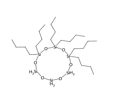 CCCC[Si]1(CCCC)O[SiH2]O[SiH2]O[SiH2]O[Si](CCCC)(CCCC)O[Si](CCCC)(CCCC)O1